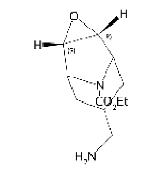 CCOC(=O)N1C2CC(CN)CC1[C@@H]1O[C@H]21